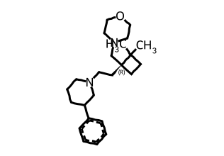 CC1(C)CC[C@]1(CCN1CCCC(c2ccccc2)C1)CN1CCOCC1